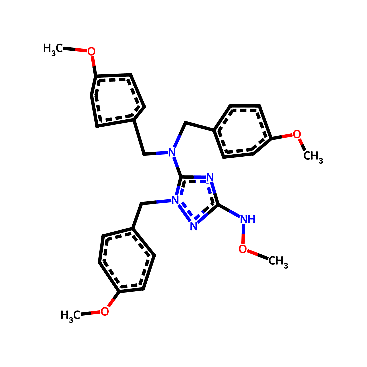 CONc1nc(N(Cc2ccc(OC)cc2)Cc2ccc(OC)cc2)n(Cc2ccc(OC)cc2)n1